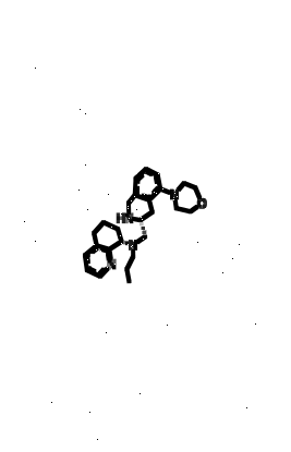 CCCN(C[C@H]1Cc2c(cccc2N2CCOCC2)CN1)[C@H]1CCCc2cccnc21